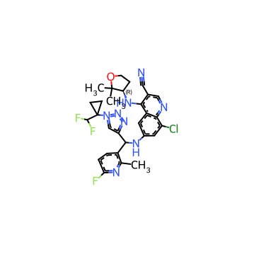 Cc1nc(F)ccc1C(Nc1cc(Cl)c2ncc(C#N)c(N[C@@H]3CCOC3(C)C)c2c1)c1cn(C2(C(F)F)CC2)nn1